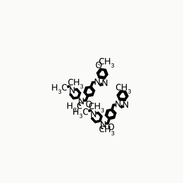 COc1ccc2ncn(Cc3ccc(C(=O)N(C)C4CCN(C(C)C)CC4)cc3)c2c1.Cc1ccc2ncn(Cc3ccc(C(=O)N(C)C4CCN(C(C)C)CC4)cc3)c2c1